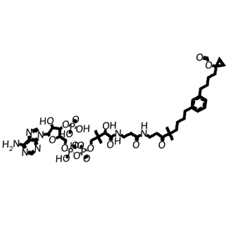 CC(C)(CCCCc1cccc(CCCCC2(OC=O)CC2)c1)C(=O)CCNC(=O)CCNC(=O)C(O)C(C)(C)COP(=O)(O)OP(=O)(O)OCC1OC(n2cnc3c(N)ncnc32)C(O)C1OP(=O)(O)O